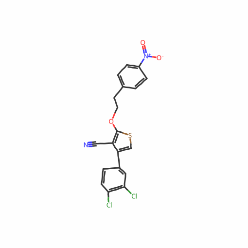 N#Cc1c(-c2ccc(Cl)c(Cl)c2)csc1OCCc1ccc([N+](=O)[O-])cc1